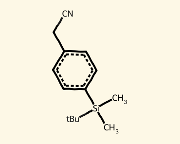 CC(C)(C)[Si](C)(C)c1ccc(CC#N)cc1